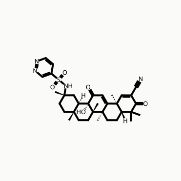 CC1(C)C(=O)C(C#N)=C[C@]2(C)C3=CC(=O)[C@]4(O)[C@@H]5C[C@@](C)(NS(=O)(=O)c6ccnnc6)CC[C@@]5(C)CC[C@@]4(C)[C@]3(C)CC[C@@H]12